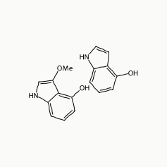 COc1c[nH]c2cccc(O)c12.Oc1cccc2[nH]ccc12